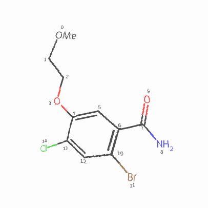 COCCOc1cc(C(N)=O)c(Br)cc1Cl